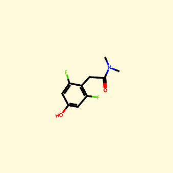 CN(C)C(=O)Cc1c(F)cc(O)cc1F